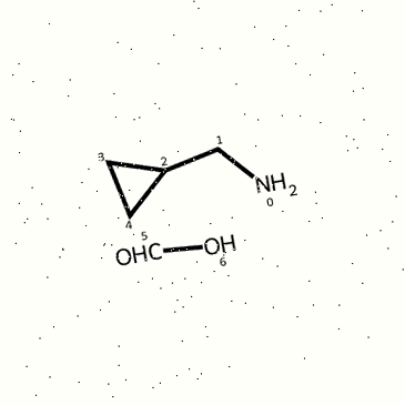 NCC1CC1.O=CO